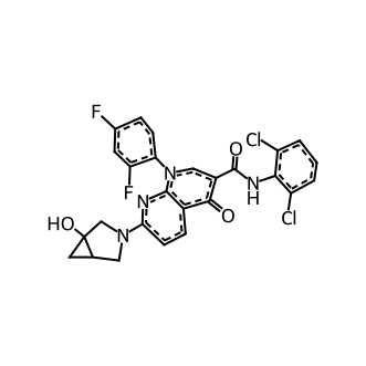 O=C(Nc1c(Cl)cccc1Cl)c1cn(-c2ccc(F)cc2F)c2nc(N3CC4CC4(O)C3)ccc2c1=O